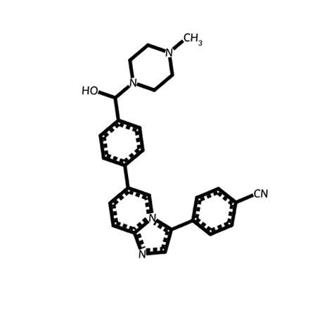 CN1CCN(C(O)c2ccc(-c3ccc4ncc(-c5ccc(C#N)cc5)n4c3)cc2)CC1